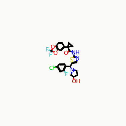 O=C(Nc1ncc([C@H](c2ccc(Cl)cc2F)N2CC[C@@H](O)C2)s1)C1(c2ccc3c(c2)OC(F)(F)O3)CC1